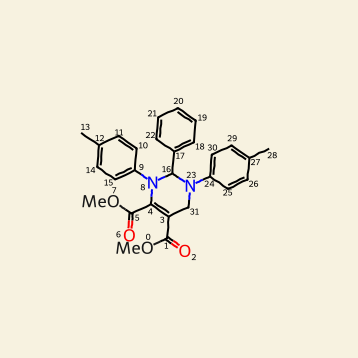 COC(=O)C1=C(C(=O)OC)N(c2ccc(C)cc2)C(c2ccccc2)N(c2ccc(C)cc2)C1